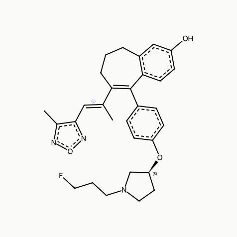 C/C(=C\c1nonc1C)C1=C(c2ccc(O[C@H]3CCN(CCCF)C3)cc2)c2ccc(O)cc2CCC1